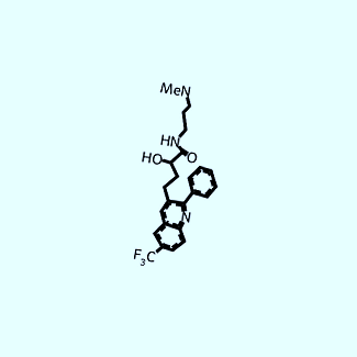 CNCCCNC(=O)C(O)CCc1cc2cc(C(F)(F)F)ccc2nc1-c1ccccc1